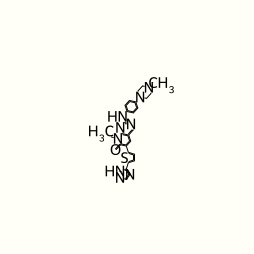 CCn1c(=O)c(-c2ccc(-c3ncn[nH]3)s2)cc2cnc(Nc3ccc(N4CCN(C)CC4)cc3)nc21